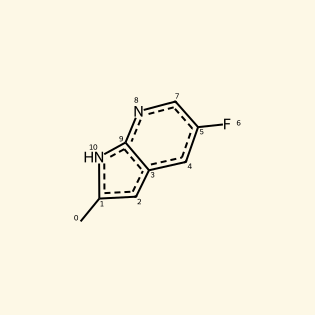 Cc1cc2cc(F)cnc2[nH]1